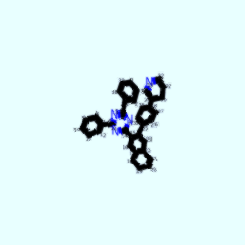 c1ccc(-c2nc(-c3ccccc3)nc(-c3cc4ccccc4cc3-c3ccc(-c4cccnc4)cc3)n2)cc1